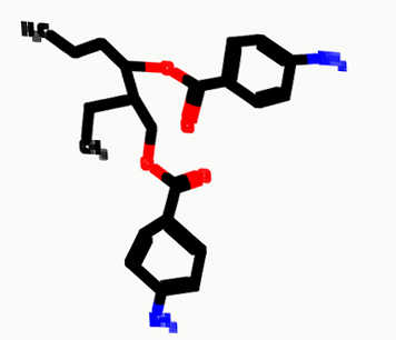 CCCC(OC(=O)c1ccc(N)cc1)C(CC)COC(=O)c1ccc(N)cc1